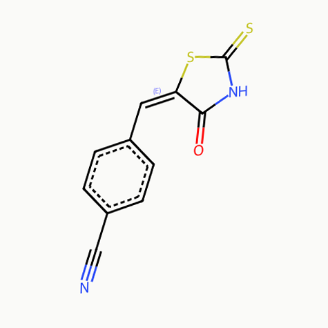 N#Cc1ccc(/C=C2/SC(=S)NC2=O)cc1